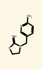 Cc1ccc(CN2CCSC2=N)cn1